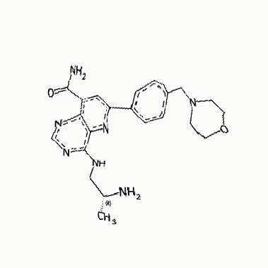 C[C@@H](N)CNc1ncnc2c(C(N)=O)cc(-c3ccc(CN4CCOCC4)cc3)nc12